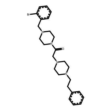 O=C(CN1CCN(CCc2ccccc2)CC1)N1CCN(Cc2ccccc2Br)CC1